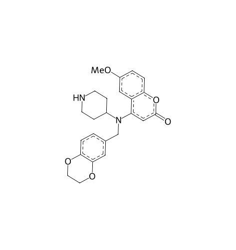 COc1ccc2oc(=O)cc(N(Cc3ccc4c(c3)OCCO4)C3CCNCC3)c2c1